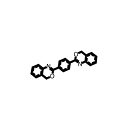 c1ccc2c(c1)COC(c1ccc(C3=Nc4ccccc4CO3)cc1)=N2